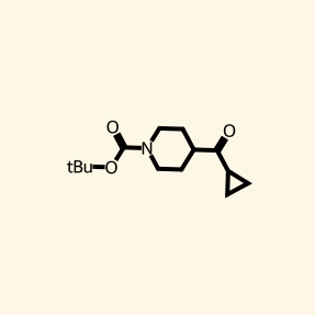 CC(C)(C)OC(=O)N1CCC(C(=O)C2CC2)CC1